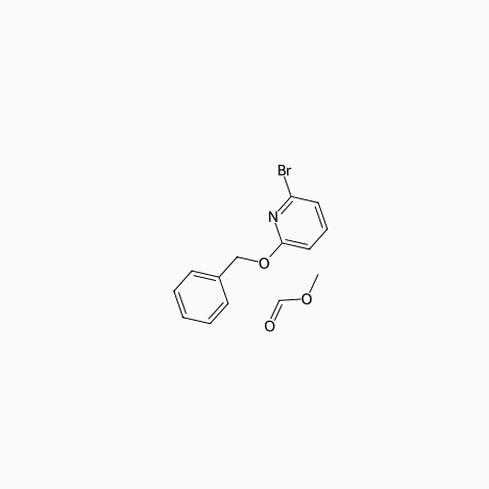 Brc1cccc(OCc2ccccc2)n1.COC=O